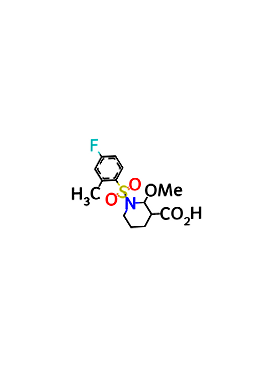 COC1C(C(=O)O)CCCN1S(=O)(=O)c1ccc(F)cc1C